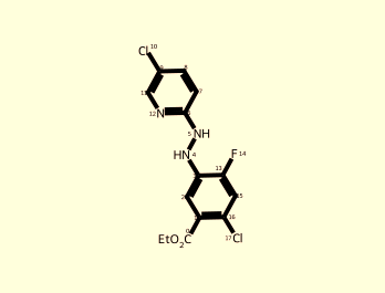 CCOC(=O)c1cc(NNc2ccc(Cl)cn2)c(F)cc1Cl